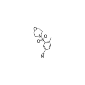 Cc1ccc(C#N)cc1S(=O)(=O)N1CCOCC1